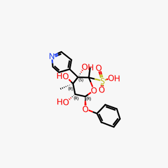 CC1(S(=O)(=O)O)O[C@@H](Oc2ccccc2)[C@H](O)[C@@](C)(O)[C@@]1(O)c1ccncc1